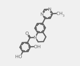 Cc1cc(-c2ccc3c(c2)CCCN3C(=O)c2ccc(O)cc2O)ncn1